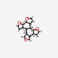 c1cc2c(o1)c1occc1c1c3occc3c3cocc3c21